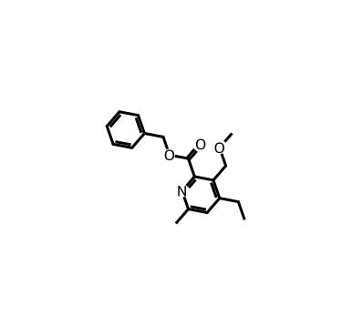 CCc1cc(C)nc(C(=O)OCc2ccccc2)c1COC